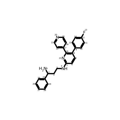 NC(CCNc1ccc(-c2ccc(F)cc2)c(-c2ccncc2)n1)c1ccccc1